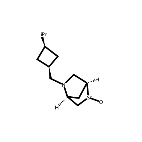 CC(C)[C@H]1C[C@@H](CN2C[C@@H]3C[C@H]2C[S+]3[O-])C1